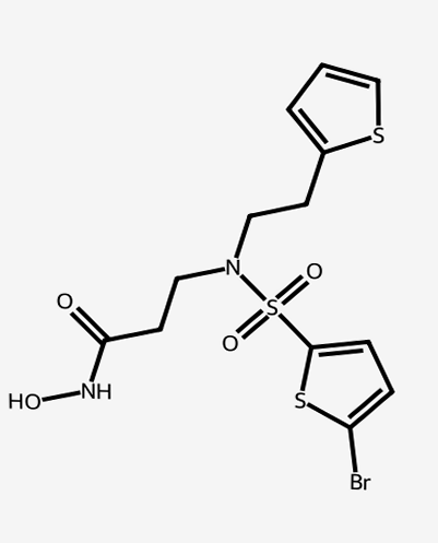 O=C(CCN(CCc1cccs1)S(=O)(=O)c1ccc(Br)s1)NO